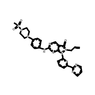 C=CCn1c(=O)c2cnc(Nc3ccc(N4CCN(S(C)(=O)=O)CC4)cc3)nc2n1-c1cccc(-c2ncccn2)n1